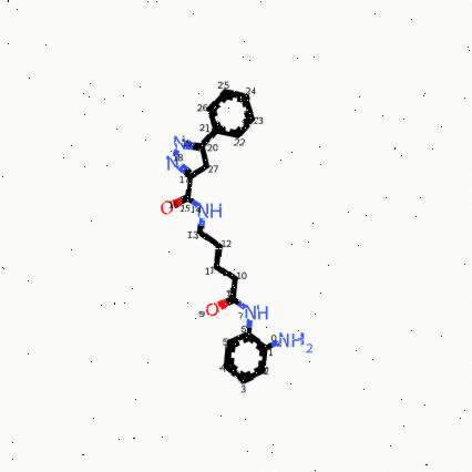 Nc1ccccc1NC(=O)CCCCNC(=O)C1=NN=C(c2ccccc2)C1